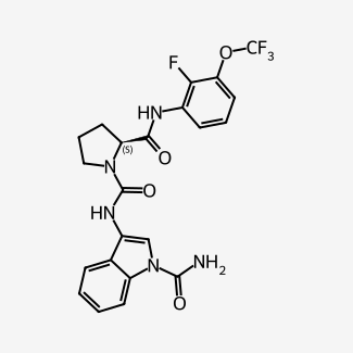 NC(=O)n1cc(NC(=O)N2CCC[C@H]2C(=O)Nc2cccc(OC(F)(F)F)c2F)c2ccccc21